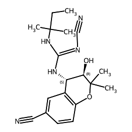 CCC(C)(C)NC(=NC#N)N[C@H]1c2cc(C#N)ccc2OC(C)(C)[C@@H]1O